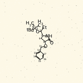 CCC(O[Si](C)(C)C(C)(C)C)C1CC(OCc2ccccc2)C(=O)N1